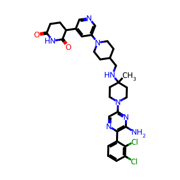 CC1(NCC2CCN(c3cncc(C4CCC(=O)NC4=O)c3)CC2)CCN(c2cnc(-c3cccc(Cl)c3Cl)c(N)n2)CC1